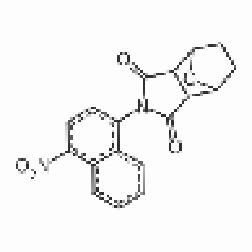 O=C1C2C3CCC(O3)C2C(=O)N1c1ccc([N+](=O)[O-])c2ccccc12